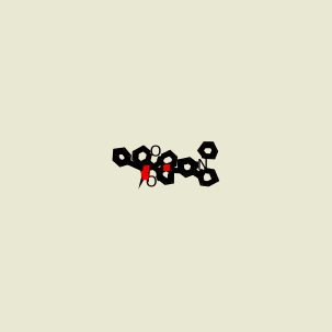 C1=CCC2OC3=C(C=CCC3)C3(C2=C1)C1=C(CCC(c2ccccc2)C1)Oc1ccc(-c2ccc4c(c2)c2c(n4C4C=CC=CC4)C=CCC2)cc13